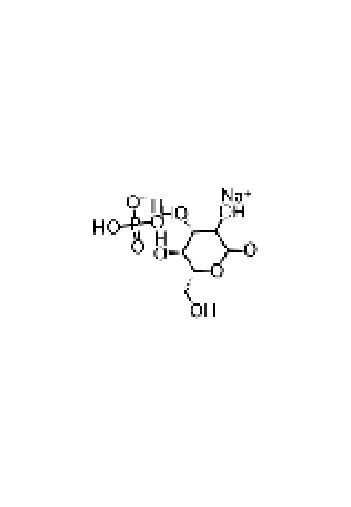 O=C1O[C@H](CO)[C@@H](O)[C@H](O)[C@H]1O.O=P([O-])(O)O.[Na+]